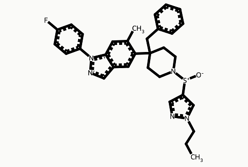 CCCn1cc([S+]([O-])N2CCC(Cc3ccccc3)(c3cc4cnn(-c5ccc(F)cc5)c4cc3C)CC2)cn1